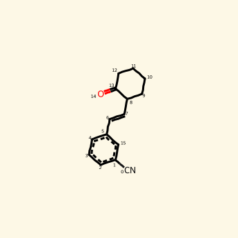 N#Cc1cccc(C=CC2CCCCC2=O)c1